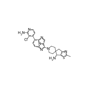 Cc1nc2c(s1)[C@@H](N)C1(CCN(c3nc4ccc(-c5ccnc(N)c5Cl)c5ncc3n45)CC1)C2